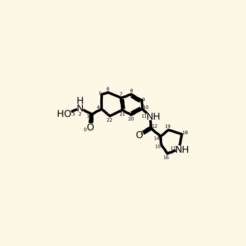 O=C(NO)C1CCc2ccc(NC(=O)C3CCNCC3)cc2C1